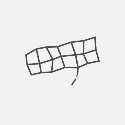 ISC12C3CC4CC5C6C7C8C9CC%10CC%11C%12C1C7(C8%12C%109%11)C62C453